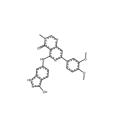 COc1ccc(-c2cc3ncn(C)c(=O)c3c(Nc3ccc4c(O)n[nH]c4c3)n2)cc1OC